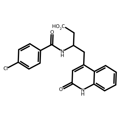 O=C(O)CC(Cc1cc(=O)[nH]c2ccccc12)NC(=O)c1ccc(Cl)cc1